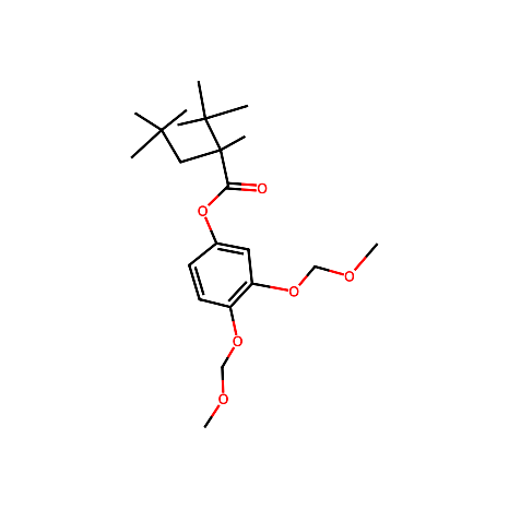 COCOc1ccc(OC(=O)C(C)(CC(C)(C)C)C(C)(C)C)cc1OCOC